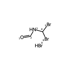 Br.O=CNC(Br)Br